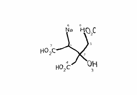 O=C(O)CC(O)(C(=O)O)[CH]([Na])C(=O)O